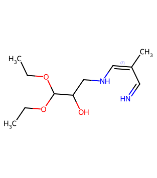 CCOC(OCC)C(O)CN/C=C(/C)C=N